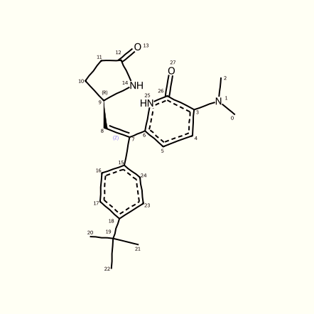 CN(C)c1ccc(/C(=C\[C@H]2CCC(=O)N2)c2ccc(C(C)(C)C)cc2)[nH]c1=O